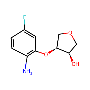 Nc1ccc(F)cc1O[C@H]1COC[C@H]1O